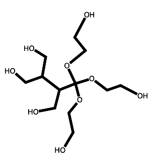 OCCOC(OCCO)(OCCO)C(CO)C(CO)CO